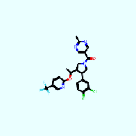 Cc1ncc(C(=O)N2CC(c3ccc(Cl)c(Cl)c3)C(C(C)Oc3ccc(C(F)(F)F)cn3)C2)cn1